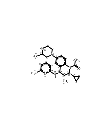 CC(=O)N1c2ccc(N3CCNC(C)C3)cc2[C@H](Nc2cccc(C)n2)[C@@H](C)[C@@H]1C1CC1